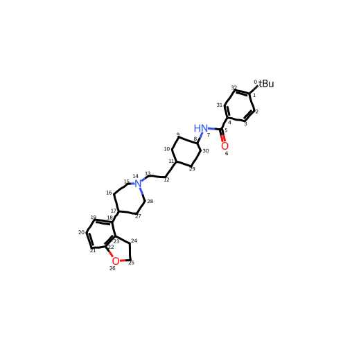 CC(C)(C)c1ccc(C(=O)NC2CCC(CCN3CCC(c4cccc5c4CCO5)CC3)CC2)cc1